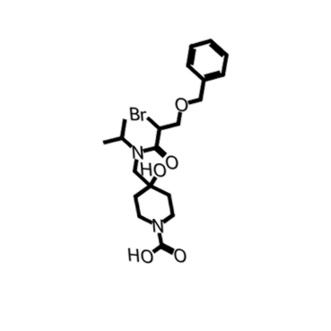 CC(C)N(CC1(O)CCN(C(=O)O)CC1)C(=O)C(Br)COCc1ccccc1